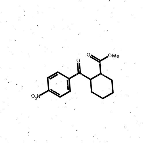 COC(=O)[C]1CCCCC1C(=O)c1ccc([N+](=O)[O-])cc1